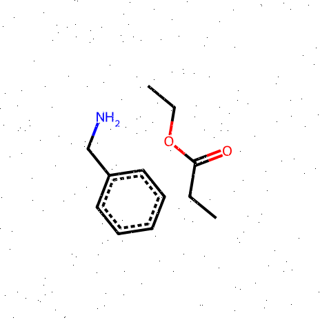 CCOC(=O)CC.NCc1ccccc1